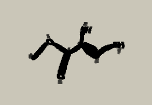 COC(=O)C(S)=CS